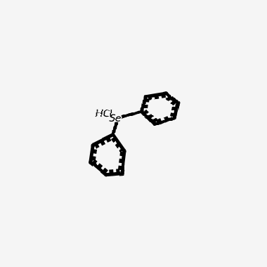 Cl.c1ccc([Se]c2ccccc2)cc1